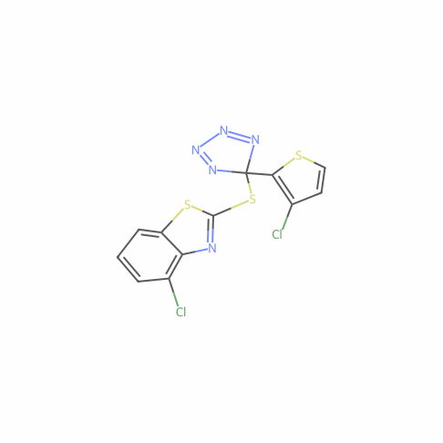 Clc1ccsc1C1(Sc2nc3c(Cl)cccc3s2)N=NN=N1